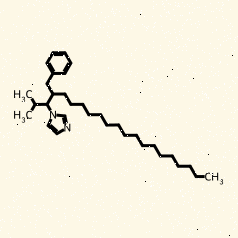 CCCCCCCCCCCCCCCCCC(Cc1ccccc1)C(C(C)C)n1ccnc1